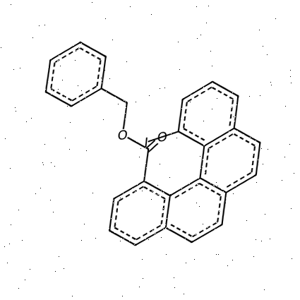 O=C(OCc1ccccc1)c1cccc2ccc3ccc4cccc(I)c4c3c12